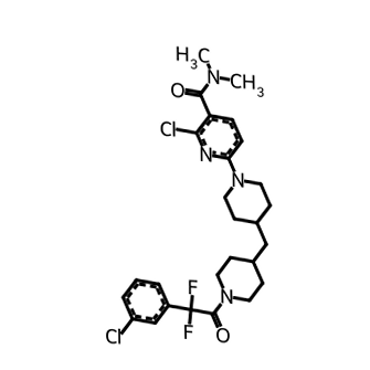 CN(C)C(=O)c1ccc(N2CCC(CC3CCN(C(=O)C(F)(F)c4cccc(Cl)c4)CC3)CC2)nc1Cl